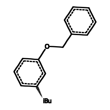 CC[C@@H](C)c1cccc(OCc2ccccc2)c1